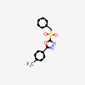 O=S(=O)(Cc1ccccc1)c1nnc(-c2ccc(C(F)(F)F)cc2)o1